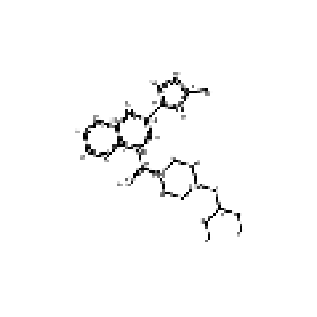 CCC(CC)CN1CCN(C(=O)c2cc(-c3ccc(C)o3)nc3ccccc23)CC1